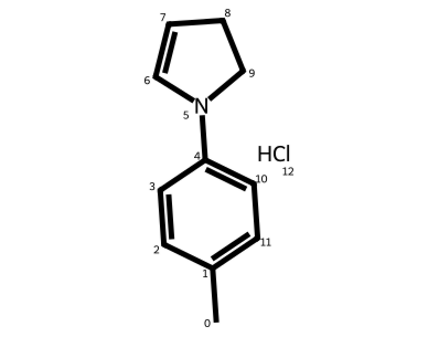 Cc1ccc(N2C=CCC2)cc1.Cl